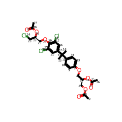 CC(=O)OC[C@@H](COc1ccc(C(C)(C)c2cc(Cl)c(OC[C@@H](CCl)OC(C)=O)c(Cl)c2)cc1)OC(C)=O